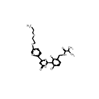 CCCOCCOc1ccc(-c2cc(=O)[nH]c(-c3c(Cl)ccc(CNC(=O)C(C)C)c3F)n2)nc1